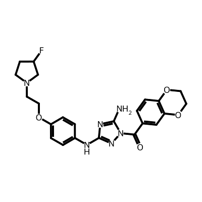 Nc1nc(Nc2ccc(OCCN3CCC(F)C3)cc2)nn1C(=O)c1ccc2c(c1)OCCO2